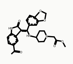 COC(=O)CN1CCC(NC(=C2C(=O)Nc3ccc(C(C)=O)cc32)c2ccc3c(c2)OCO3)CC1